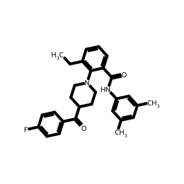 CCc1cccc(C(=O)Nc2cc(C)cc(C)c2)c1N1CCC(C(=O)c2ccc(F)cc2)CC1